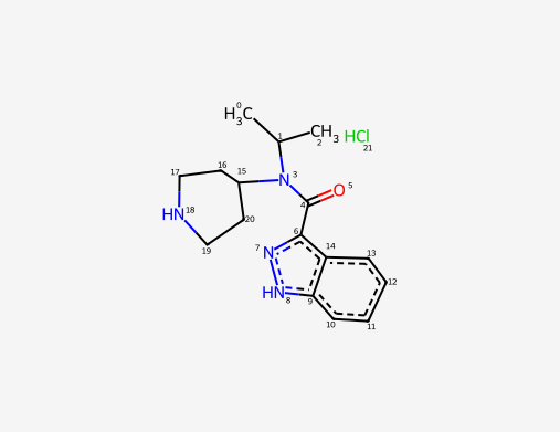 CC(C)N(C(=O)c1n[nH]c2ccccc12)C1CCNCC1.Cl